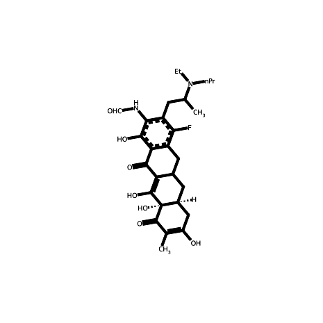 CCCN(CC)C(C)Cc1c(F)c2c(c(O)c1NC=O)C(=O)C1=C(O)[C@]3(O)C(=O)C(C)=C(O)C[C@@H]3CC1C2